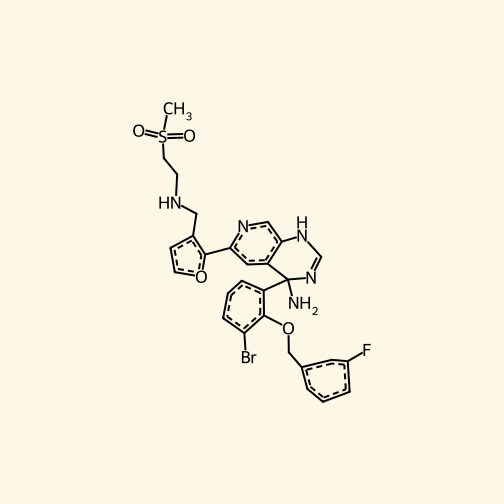 CS(=O)(=O)CCNCc1ccoc1-c1cc2c(cn1)NC=NC2(N)c1cccc(Br)c1OCc1cccc(F)c1